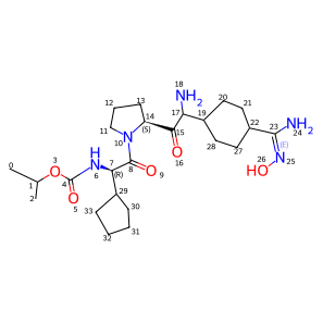 CC(C)OC(=O)N[C@@H](C(=O)N1CCC[C@H]1C(=O)C(N)C1CCC(/C(N)=N\O)CC1)C1CCCC1